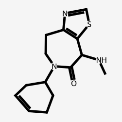 CNC1C(=O)N(C2CC=CCC2)CCc2ncsc21